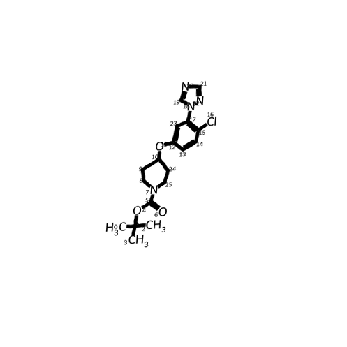 CC(C)(C)OC(=O)N1CCC(Oc2ccc(Cl)c(-n3cncn3)c2)CC1